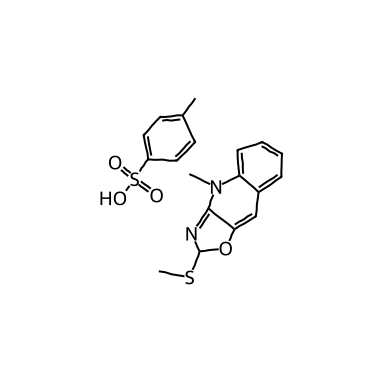 CSC1N=C2C(=Cc3ccccc3N2C)O1.Cc1ccc(S(=O)(=O)O)cc1